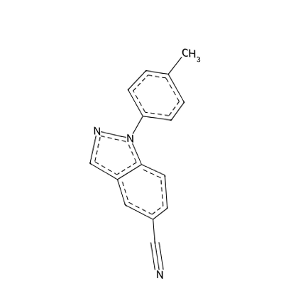 Cc1ccc(-n2ncc3cc(C#N)ccc32)cc1